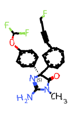 CN1C(=O)[C@](c2ccc(OC(F)F)cc2)(c2cccc(C#CCF)c2)N=C1N